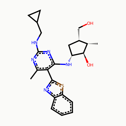 Cc1nc(NCC2CC2)nc(N[C@@H]2C[C@H](CO)[C@H](C)[C@H]2O)c1-c1nc2ccccc2s1